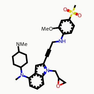 CNC1CCC(N(C)c2cccc3c2cc(C#CCNc2ccc(S(C)(=O)=O)cc2OC)n3CC2CO2)CC1